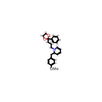 COc1ccc(CC2C=CC=CN2CCCC2(c3ccccc3)OCCO2)cc1